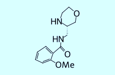 COc1ccccc1C(=O)NC[C@H]1COCCN1